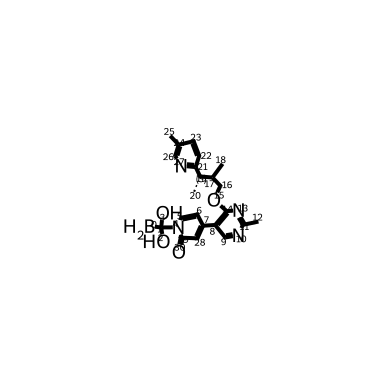 BC(O)(O)n1ccc(-c2cnc(C)nc2OCC(C)[C@H](C)c2ccc(C)cn2)cc1=O